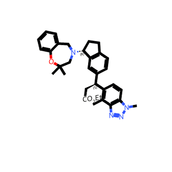 CCOC(=O)C[C@@H](c1ccc2c(c1)[C@H](N1Cc3ccccc3OC(C)(C)C1)CC2)c1ccc2c(nnn2C)c1C